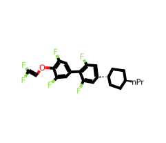 CCC[C@H]1CC[C@H](c2cc(F)c(-c3cc(F)c(OC=C(F)F)c(F)c3)c(F)c2)CC1